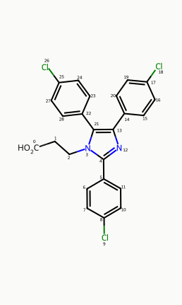 O=C(O)CCn1c(-c2ccc(Cl)cc2)nc(-c2ccc(Cl)cc2)c1-c1ccc(Cl)cc1